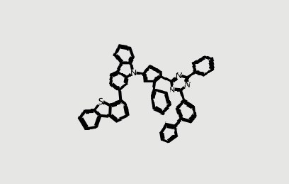 c1ccc(-c2cccc(-c3nc(-c4ccccc4)nc(-c4ccc(-n5c6ccccc6c6ccc(-c7cccc8c7sc7ccccc78)cc65)cc4-c4ccccc4)n3)c2)cc1